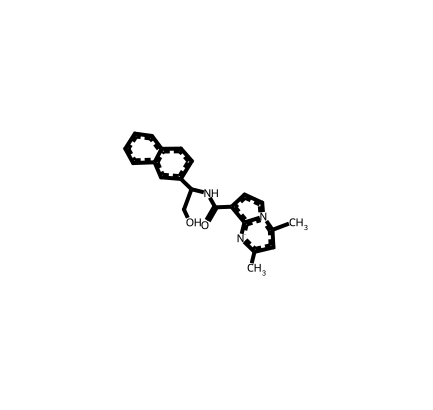 Cc1cc(C)n2ccc(C(=O)NC(CO)c3ccc4ccccc4c3)c2n1